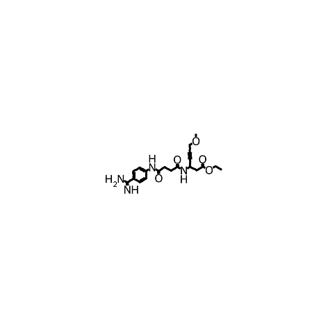 CCOC(=O)CC(C#CCOC)NC(=O)CCC(=O)Nc1ccc(C(=N)N)cc1